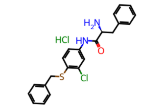 Cl.N[C@@H](Cc1ccccc1)C(=O)Nc1ccc(SCc2ccccc2)c(Cl)c1